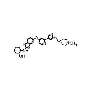 CN1CCN(CCn2cc(-c3cc(Oc4ccc5nc(N[C@@H]6CCCC[C@H]6O)sc5c4)ccn3)cn2)CC1